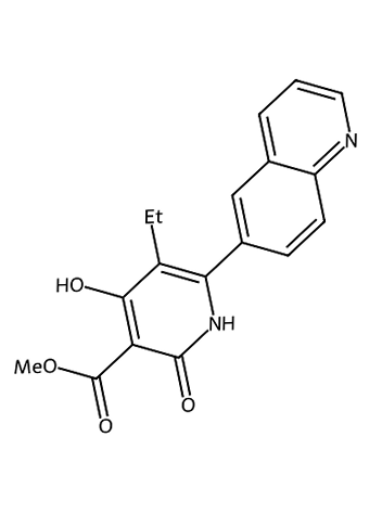 CCc1c(-c2ccc3ncccc3c2)[nH]c(=O)c(C(=O)OC)c1O